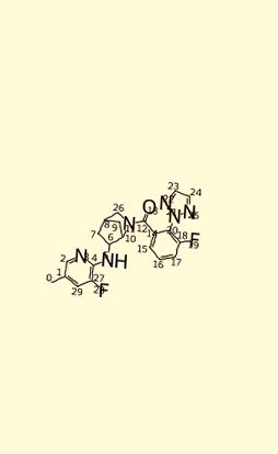 Cc1cnc(NC2CC3CC2N(C(=O)c2cccc(F)c2-n2nccn2)C3)c(F)c1